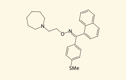 CSc1ccc(C(=NOCCN2CCCCCC2)c2cccc3ccccc23)cc1